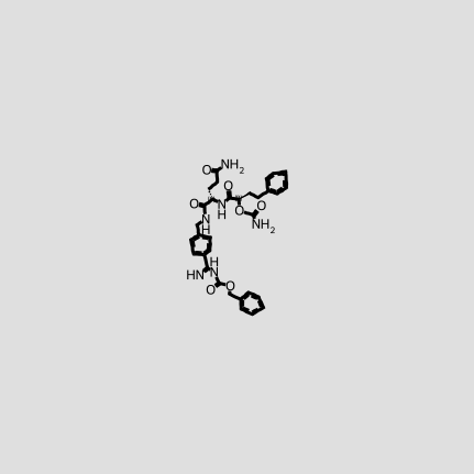 N=C(NC(=O)OCc1ccccc1)c1ccc(CNC(=O)[C@H](CCC(N)=O)NC(=O)[C@@H](CCc2ccccc2)OC(N)=O)cc1